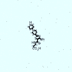 CC(C)c1nc(C2CCN(C3CCNCC3)CC2)sc1C(=O)NCCC(=O)O